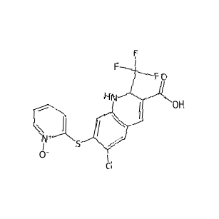 O=C(O)C1=Cc2cc(Cl)c(Sc3cccc[n+]3[O-])cc2NC1C(F)(F)F